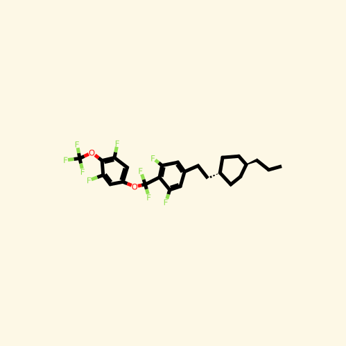 CCC[C@H]1CC[C@H](CCc2cc(F)c(C(F)(F)Oc3cc(F)c(OC(F)(F)F)c(F)c3)c(F)c2)CC1